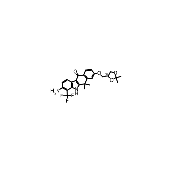 CC1(C)OC[C@H](COc2ccc3c(c2)C(C)(C)c2[nH]c4c(C(F)(F)F)c(N)ccc4c2C3=O)O1